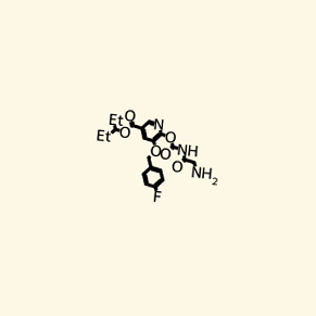 CCC(CC)OC(=O)c1cnc(OC(=O)NC(=O)CN)c(OCc2ccc(F)cc2)c1